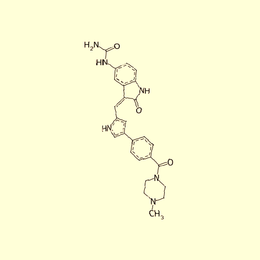 CN1CCN(C(=O)c2ccc(-c3c[nH]c(C=C4C(=O)Nc5ccc(NC(N)=O)cc54)c3)cc2)CC1